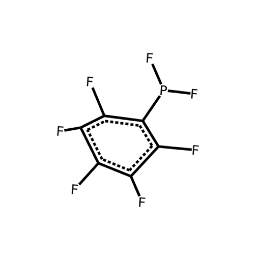 Fc1c(F)c(F)c(P(F)F)c(F)c1F